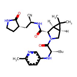 Cc1ccc(N[C@H](C(=O)N2C[C@H]3[C@@H]([C@H]2C(=O)N[C@H](C#N)C[C@@H]2CCNC2=O)C3(C)C)C(C)(C)C)cn1